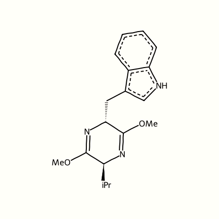 COC1=N[C@H](Cc2c[nH]c3ccccc23)C(OC)=N[C@H]1C(C)C